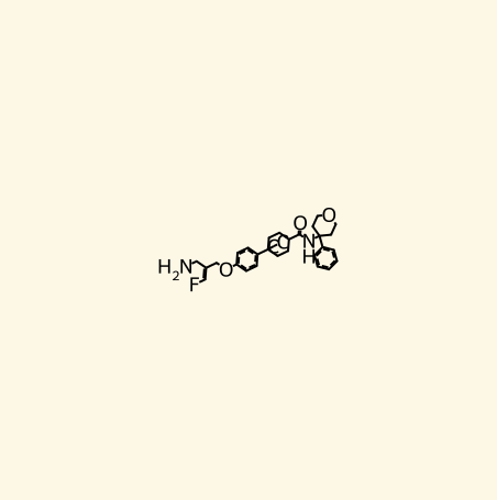 NCC(=CF)COc1ccc(C23CCC(C(=O)NC4(c5ccccc5)CCOCC4)(CC2)CC3)cc1